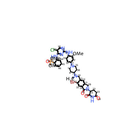 COc1cc(N2CCC(N(C)Cc3cc4c(cc3Br)C(=O)N(C3CCC(=O)NC3=O)C4)CC2)ccc1Nc1ncc(Cl)c(Nc2ccccc2P(=O)(OC)OC)n1